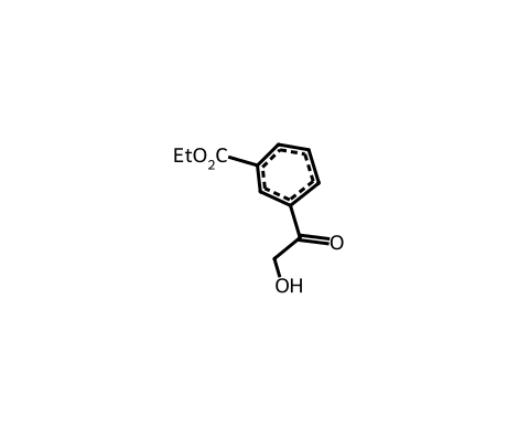 CCOC(=O)c1cccc(C(=O)CO)c1